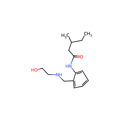 CCC(C)CC(=O)Nc1ccccc1CNCCO